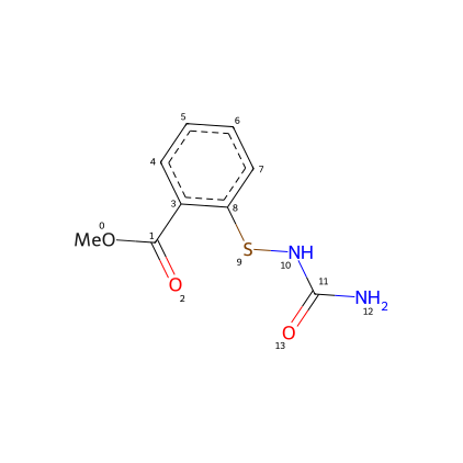 COC(=O)c1ccccc1SNC(N)=O